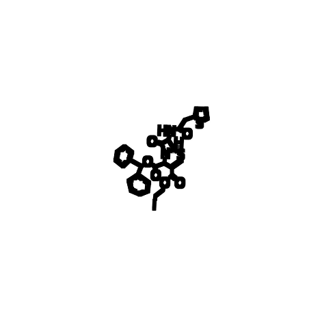 O=C(Cc1cccs1)NC1C(=O)N2C(C(=O)OC(c3ccccc3)c3ccccc3)C(C(=O)OCCI)=CS[C@H]12